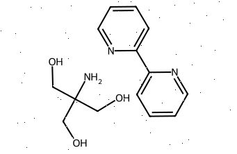 NC(CO)(CO)CO.c1ccc(-c2ccccn2)nc1